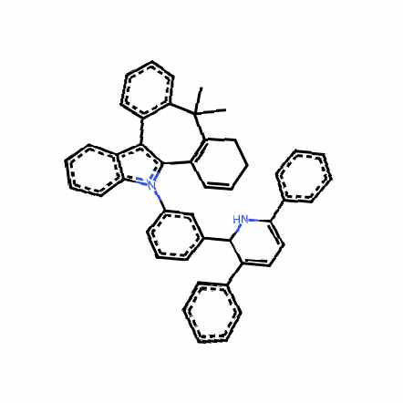 CC1(C)C2=C(C=CCC2)c2c(c3ccccc3n2-c2cccc(C3NC(c4ccccc4)=CC=C3c3ccccc3)c2)-c2ccccc21